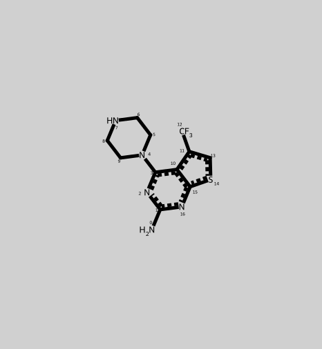 Nc1nc(N2CCNCC2)c2c(C(F)(F)F)csc2n1